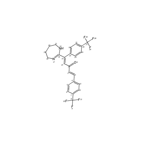 O=C(C=Cc1ccc(C(F)(F)F)cc1)C=C(C1=NCCCCN1)c1ccc(C(F)(F)F)cc1